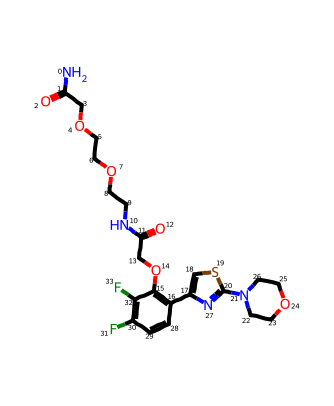 NC(=O)COCCOCCNC(=O)COc1c(-c2csc(N3CCOCC3)n2)ccc(F)c1F